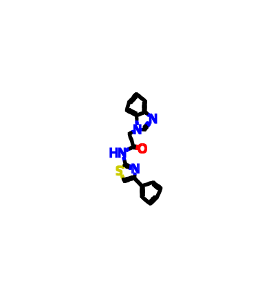 O=C(Cn1cnc2ccccc21)Nc1nc(-c2ccccc2)cs1